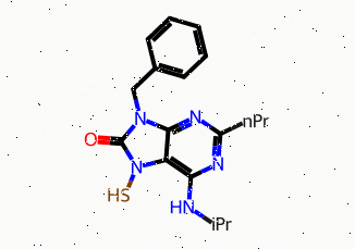 CCCc1nc(NC(C)C)c2c(n1)n(Cc1ccccc1)c(=O)n2S